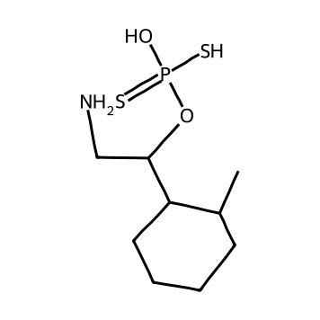 CC1CCCCC1C(CN)OP(O)(=S)S